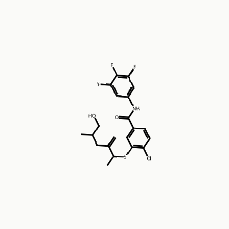 C=C(CC(C)CO)C(C)Sc1cc(C(=O)Nc2cc(F)c(F)c(F)c2)ccc1Cl